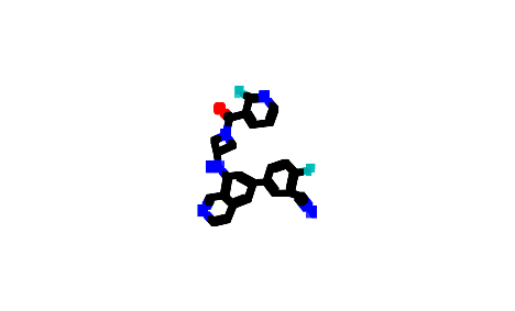 N#Cc1cc(-c2cc(NC3CN(C(=O)c4cccnc4F)C3)c3cnccc3c2)ccc1F